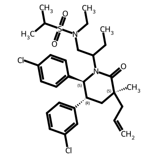 C=CC[C@@]1(C)C[C@H](c2cccc(Cl)c2)[C@@H](c2ccc(Cl)cc2)N(C(CC)CN(CC)S(=O)(=O)C(C)C)C1=O